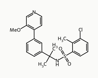 COc1cnccc1-c1cccc(C(C)(C)NS(=O)(=O)c2cccc(Cl)c2C)c1